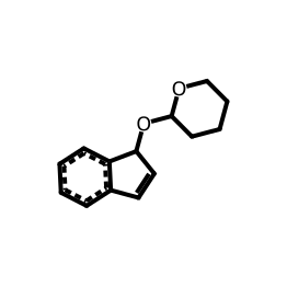 C1=CC(OC2CCCCO2)c2ccccc21